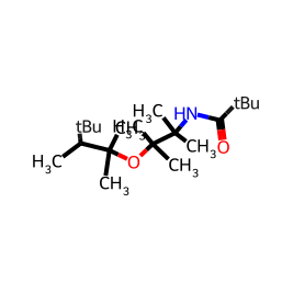 CC(C(C)(C)C)C(C)(C)OC(C)(C)C(C)(C)NC(=O)C(C)(C)C